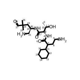 C[C@H](O)[C@H](NC(=O)C(CCN)C1CCCCC1)C(=O)N[C@@H](CN)CC(C)(C)C=O